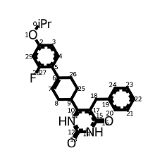 CC(C)Oc1ccc(C2=CCC(c3[nH]c(=O)[nH]c(=O)c3Cc3ccccc3)CC2)c(F)c1